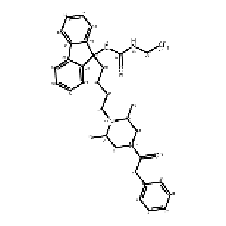 CC1CN(C(=O)Cc2ccccc2)CC(C)N1CCCCC1(OC(=O)NCC(F)(F)F)c2ccccc2-c2ccccc21